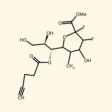 C#CCCC(=O)O[C@@H](C1OC(F)(C(=O)OC)C(F)C(O)C1C)[C@H](O)CO